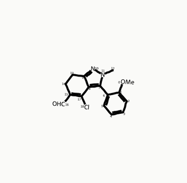 COc1ccccc1-c1c2c(nn1C)CCC(C=O)=C2Cl